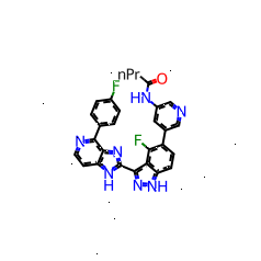 CCCC(=O)Nc1cncc(-c2ccc3[nH]nc(-c4nc5c(-c6ccc(F)cc6)nccc5[nH]4)c3c2F)c1